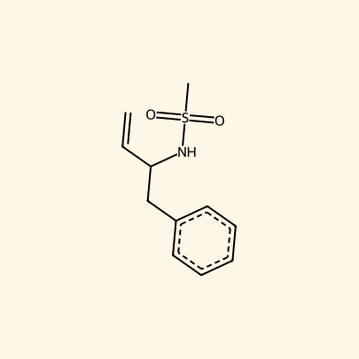 C=CC(Cc1ccccc1)NS(C)(=O)=O